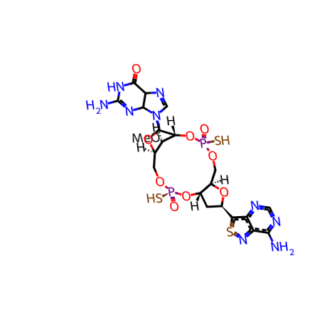 CO[C@H]1[C@H]2OP(=O)(S)OC[C@H]3O[C@@H](c4snc5c(N)ncnc45)C[C@@H]3O[P@@](=O)(S)OC[C@H]1O[C@H]2N1C=NC2C(=O)NC(N)=NC21